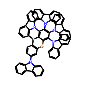 c1ccc2c(c1)c1ccccc1n2-c1ccc2c(c1)Sc1c3c(c(-n4c5ccccc5c5ccccc54)c(-n4c5ccccc5c5ccccc54)c1-n1c4ccccc4c4ccccc41)-n1c4ccccc4c4cccc(c41)B23